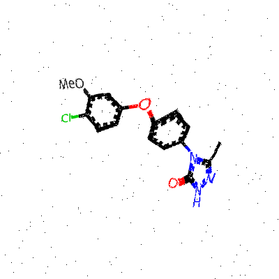 COc1cc(Oc2ccc(-n3c(C)n[nH]c3=O)cc2)ccc1Cl